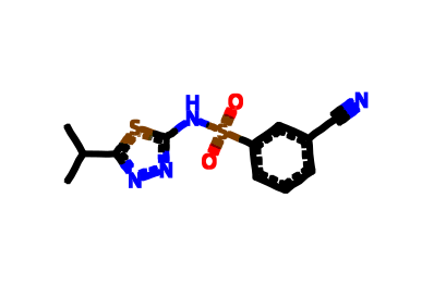 CC(C)c1nnc(NS(=O)(=O)c2cccc(C#N)c2)s1